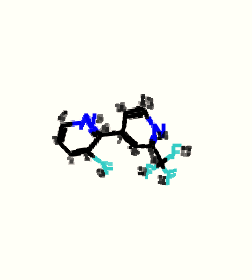 Fc1cccnc1-c1[c]c(C(F)(F)F)ncc1